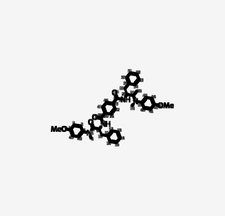 COc1ccc(N(C)C(=O)[C@H](Cc2ccccc2)NC(=O)c2ccc(C(=O)N[C@@H](Cc3ccccc3)C(C)N(C)c3ccc(OC)cc3)cc2)cc1